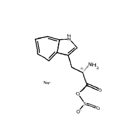 N[C@@H](Cc1c[nH]c2ccccc12)C(=O)OS(=O)[O-].[Na+]